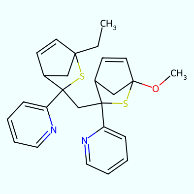 CCC12C=CC(C1)C(CC1(c3ccccn3)SC3(OC)C=CC1C3)(c1ccccn1)S2